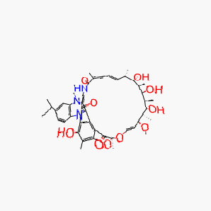 CO[C@H]1/C=C/O[C@@]2(C)Oc3c(C)c(O)c4c(=O)c(c5n(C)c6cc(C(C)C)ccc6nc-5c4c3C2=O)NC(=O)/C(C)=C\C=C\[C@H](C)[C@H](O)[C@@H](C)[C@@H](O)[C@@H](C)[C@H](O)[C@@H]1C